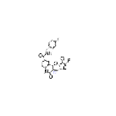 CN1C(=O)/C(=C/c2ccc(F)c(Cl)c2)C(=O)c2cc(C(=O)NCc3ccc(F)cc3)ccc21